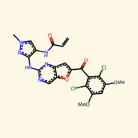 C=CC(=O)Nc1cn(C)nc1Nc1ncc2oc(C(=O)c3c(Cl)c(OC)cc(OC)c3Cl)cc2n1